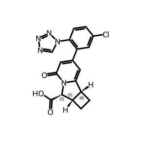 O=C(O)[C@@H]1[C@H]2CC[C@H]2c2cc(-c3cc(Cl)ccc3-n3cnnn3)cc(=O)n21